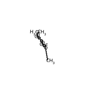 CCCCCCCCCCCCOc1ccc(C(=O)Oc2ccc(-c3ccc(C(=O)OC[C@@H](C)CC)cc3)cc2)cc1F